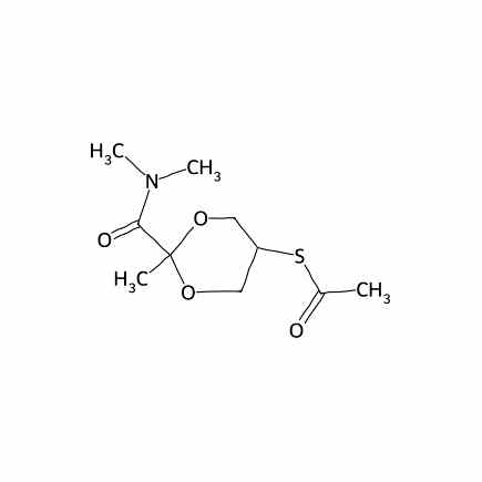 CC(=O)SC1COC(C)(C(=O)N(C)C)OC1